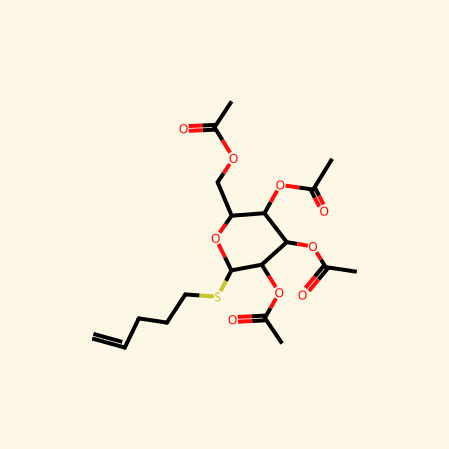 C=CCCCSC1OC(COC(C)=O)C(OC(C)=O)C(OC(C)=O)C1OC(C)=O